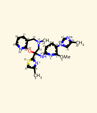 COc1nc(NC2(c3nc(C)cs3)CN(C)Cc3cccnc3O2)ccc1-n1cnc(C)c1